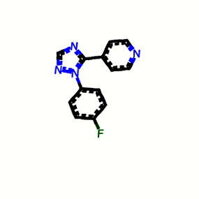 Fc1ccc(-n2ncnc2-c2ccncc2)cc1